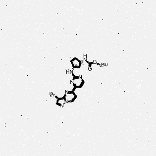 CC(C)c1cnn2ccc(-c3ccnc(N[C@H]4CC[C@H](NC(=O)OC(C)(C)C)C4)n3)nc12